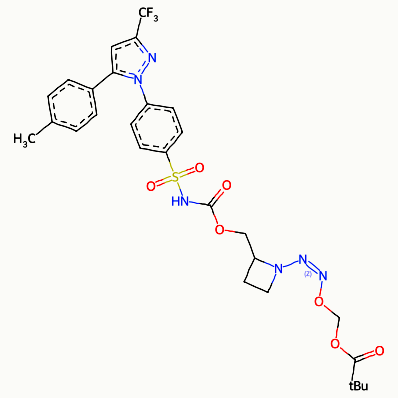 Cc1ccc(-c2cc(C(F)(F)F)nn2-c2ccc(S(=O)(=O)NC(=O)OCC3CCN3/N=N\OCOC(=O)C(C)(C)C)cc2)cc1